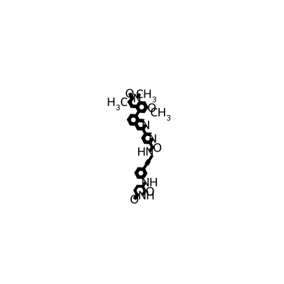 COc1cc(-c2cccc3cc(-c4ccc(C(=O)NCC#Cc5cccc(NC6CCC(=O)NC6=O)c5)nc4)ncc23)c2cc(C)c(=O)n(C)c2c1